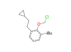 CCC(C)c1cccc(CCC2CC2)c1OCCl